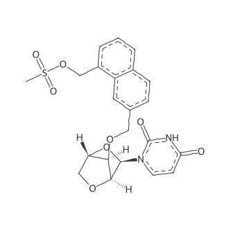 CS(=O)(=O)OCc1cccc2ccc(CO[C@H]3[C@@H]4OC[C@@H]3O[C@H]4n3ccc(=O)[nH]c3=O)cc12